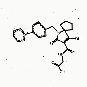 O=C(O)CNC(=O)C1=C(O)C2(CCCC2)N(Cc2ccc(-c3ccccc3)cc2)C1=O